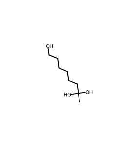 CC(O)(O)CCCCCCO